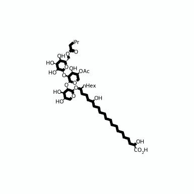 CCCCCC[C@@H](CCC[C@@H](O)CCCCCCCCCCCCC[C@@H](O)C(=O)O)O[C@H]1OC[C@H](O)[C@@H](O)[C@@H]1O[C@H]1OC[C@H](OC(C)=O)[C@@H](O)[C@@H]1O[C@H]1O[C@@H](COC(=O)CC(C)C)[C@H](O)[C@@H](O)[C@@H]1O